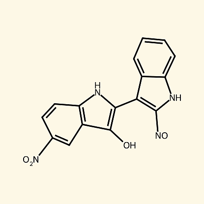 O=Nc1[nH]c2ccccc2c1-c1[nH]c2ccc([N+](=O)[O-])cc2c1O